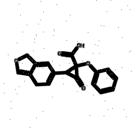 O=C(O)C1(Oc2ccccc2)C(=O)C1C1=CCC2=COCC2=C1